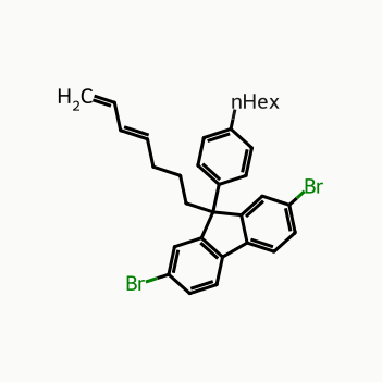 C=C/C=C/CCCC1(c2ccc(CCCCCC)cc2)c2cc(Br)ccc2-c2ccc(Br)cc21